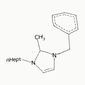 CCCCCCCN1C=CN(Cc2ccccc2)C1C